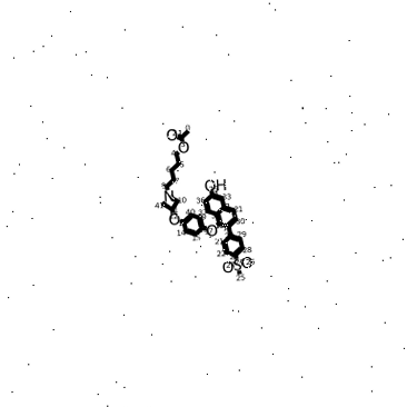 CC(=O)OCCCCCN1CC(Oc2ccc(Oc3c(-c4ccc(S(C)(=O)=O)cc4)ccc4cc(O)ccc34)cc2)C1